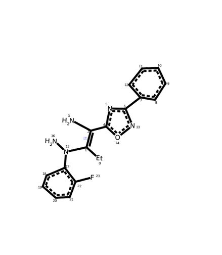 CC/C(=C(/N)c1nc(-c2ccccc2)no1)N(N)c1ccccc1F